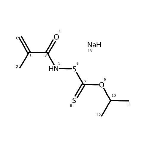 C=C(C)C(=O)NSC(=S)OC(C)C.[NaH]